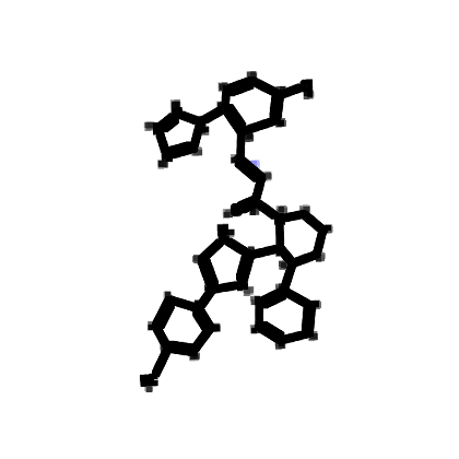 N#Cc1ccc(-c2c[nH]c(C3C(c4ccccc4)CCCN3C(=O)/C=C/c3cc(Cl)ccc3-n3cnnn3)n2)cc1